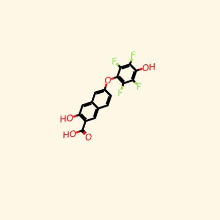 O=C(O)c1cc2ccc(Oc3c(F)c(F)c(O)c(F)c3F)cc2cc1O